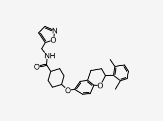 Cc1cccc(C)c1C1CCc2cc(OC3CCC(C(=O)NCc4ccno4)CC3)ccc2O1